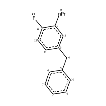 [CH2]CCc1cc(Cc2ccccc2)ccc1F